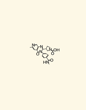 CNC(=O)c1ccc(-n2c(C3CCN(C(=O)O)C3)nc3cnc(C)cc3c2=O)cc1